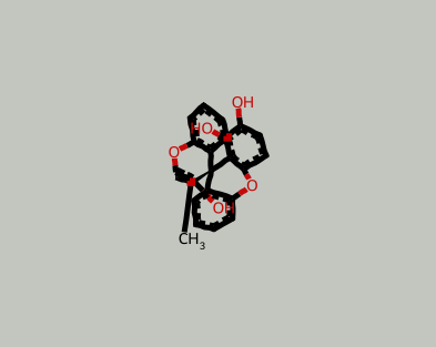 Cc1ccc2c(c1O)[C@]1(c3ccccc3O2)c2ccccc2Oc2ccc(O)c(O)c21